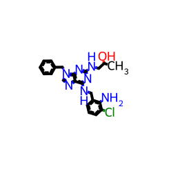 CC(O)CNc1nc(NCc2cccc(Cl)c2N)c2ncn(Cc3ccccc3)c2n1